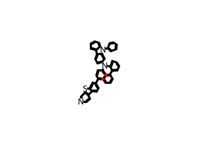 c1ccc(-c2ccccc2N(c2ccc(-c3ccc4c(c3)sc3cnccc34)cc2)c2ccc3c4ccccc4n(-c4ccccc4)c3c2)cc1